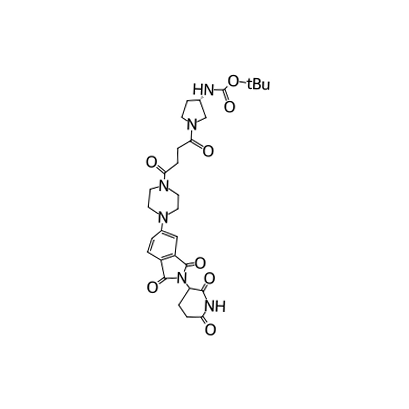 CC(C)(C)OC(=O)N[C@H]1CCN(C(=O)CCC(=O)N2CCN(c3ccc4c(c3)C(=O)N(C3CCC(=O)NC3=O)C4=O)CC2)C1